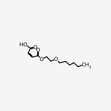 CCCCCCOCCOC(=O)/C=C\C(=O)O